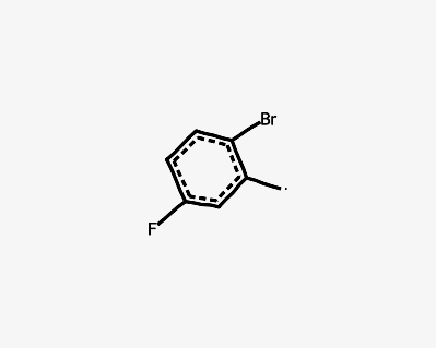 [CH2]c1cc(F)ccc1Br